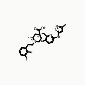 Cc1cc(Nc2ccc(F)c(C[C@@]3(C(=O)O)CCN(CCc4cccc(F)c4F)[C@H](C)C3)n2)n[nH]1